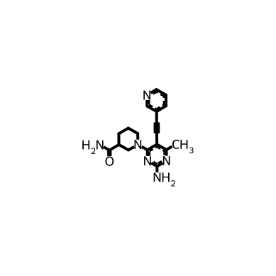 Cc1nc(N)nc(N2CCCC(C(N)=O)C2)c1C#Cc1cccnc1